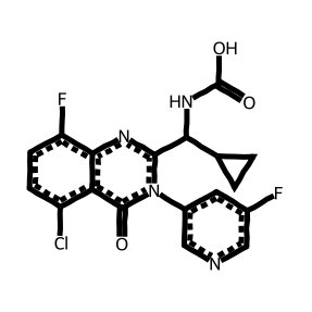 O=C(O)NC(c1nc2c(F)ccc(Cl)c2c(=O)n1-c1cncc(F)c1)C1CC1